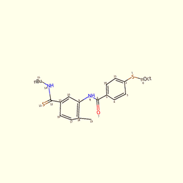 CCCCCCCCSc1ccc(C(=O)Nc2cc(C(=S)NCCCC)ccc2C)cc1